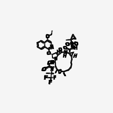 CCOc1cnc(O[C@@H]2C[C@H]3C(=O)N[C@]4(C(=O)NS(=O)(=O)C5(C)CC5)C[C@H]4/C=C\CC[C@@H](C)O[C@@H](C)[C@H](N(C(=O)O)C(C)(C)C(F)(F)F)C(=O)N3C2)c2ccccc12